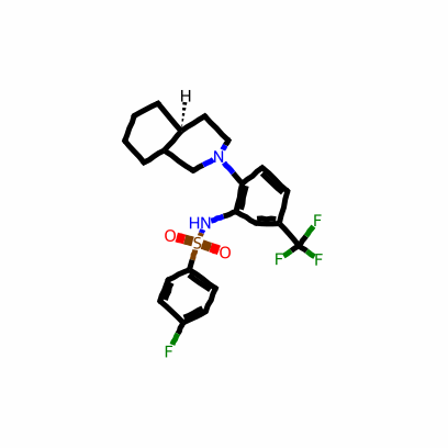 O=S(=O)(Nc1cc(C(F)(F)F)ccc1N1CC[C@@H]2CCCCC2C1)c1ccc(F)cc1